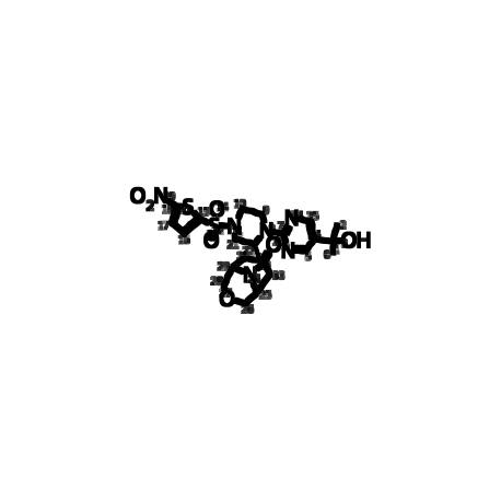 CC(C)(O)c1cnc(N2CCN(S(=O)(=O)c3ccc([N+](=O)[O-])s3)C[C@@H]2CN2C3COCC2CC(=O)C3)nc1